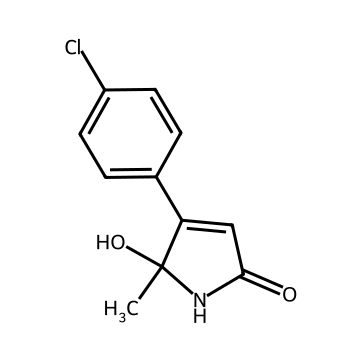 CC1(O)NC(=O)C=C1c1ccc(Cl)cc1